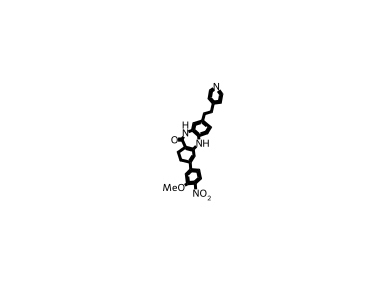 COc1cc(C2=CC3=C(CC2)C(=O)Nc2cc(CCc4ccncc4)ccc2N3)ccc1[N+](=O)[O-]